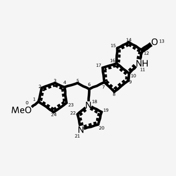 COc1ccc(CC(c2ccc3[nH]c(=O)ccc3c2)n2ccnc2)cc1